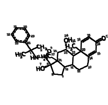 CC(C)(NC(=O)[C@@]1(O)CCC2C3CCC4=CC(=O)C=CC4(C)C3[C@@H](O)CC21C)c1ccccc1